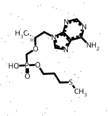 CSCCCOP(=O)(O)CO[C@H](C)Cn1cnc2c(N)ncnc21